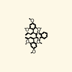 C=CC=C(c1nc2ccccc2nc1C(=CC=C)c1c(OC)cc(OC)cc1OC)c1c(OC)cc(OC)cc1OC